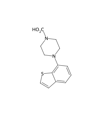 O=C(O)N1CCN(c2cccc3ccsc23)CC1